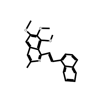 COc1cc2cc(C)nc(C=Cc3cccc4ccccc34)c2c(OC)c1OC